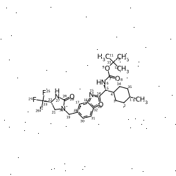 CC1CCC([C@H](NC(=O)OC(C)(C)C)c2nc3cc(CN4C[C@@H](C(F)(F)F)NC4=O)ccc3o2)CC1